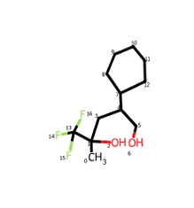 CC(O)(CC(CO)C1CCCCC1)C(F)(F)F